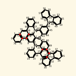 c1ccc(-c2cc3c4c(c2)N(c2ccccc2-c2ccccc2)c2cc(-n5c6ccccc6c6ccccc65)ccc2B4c2ccc(-n4c5ccccc5c5ccccc54)cc2N3c2ccccc2-c2ccccc2)cc1